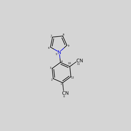 N#Cc1ccc(-n2c[c]cc2)c(C#N)c1